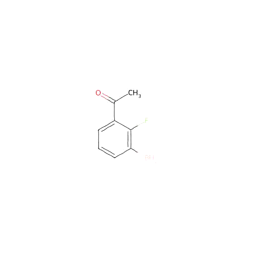 Bc1cccc(C(C)=O)c1F